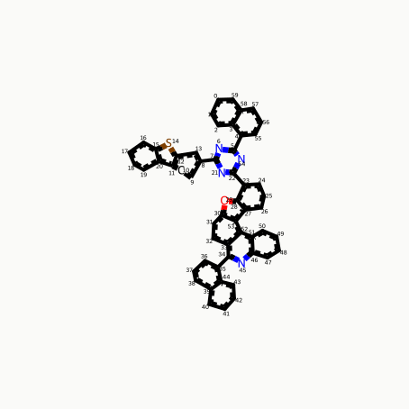 c1ccc2c(-c3nc(-c4ccc5c(c4)sc4ccccc45)nc(-c4cccc5c4oc4ccc6c(-c7cccc8ccccc78)nc7ccccc7c6c45)n3)cccc2c1